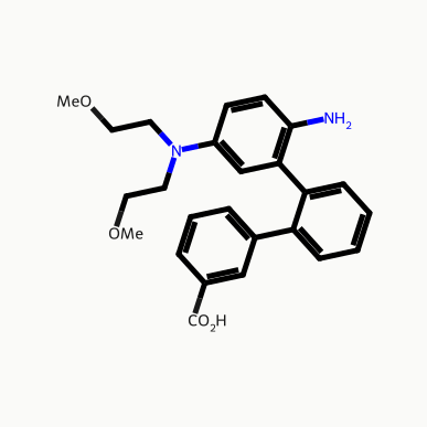 COCCN(CCOC)c1ccc(N)c(-c2ccccc2-c2cccc(C(=O)O)c2)c1